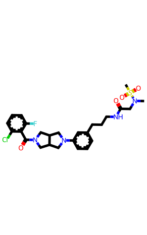 CN(CC(=O)NCCCc1cccc(N2CC3CN(C(=O)c4c(F)cccc4Cl)CC3C2)c1)S(C)(=O)=O